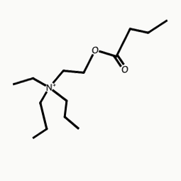 CCCC(=O)OCC[N+](CC)(CCC)CCC